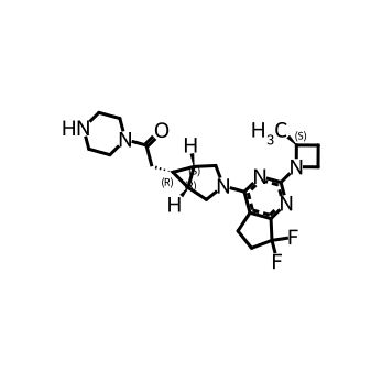 C[C@H]1CCN1c1nc(N2C[C@@H]3[C@H](CC(=O)N4CCNCC4)[C@@H]3C2)c2c(n1)C(F)(F)CC2